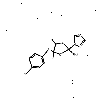 CC1OC(n2cncn2)(C(C)(C)C)OC1(C)Oc1ccc(Cl)cc1